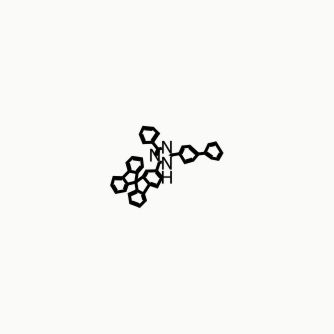 c1ccc(C2=NC(c3ccc4c(c3)C3(c5ccccc5-c5ccccc53)c3ccccc3-4)NC(c3ccc(-c4ccccc4)cc3)=N2)cc1